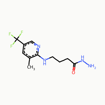 Cc1cc(C(F)(F)F)cnc1NCCCC(=O)NN